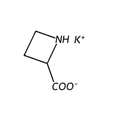 O=C([O-])C1CCN1.[K+]